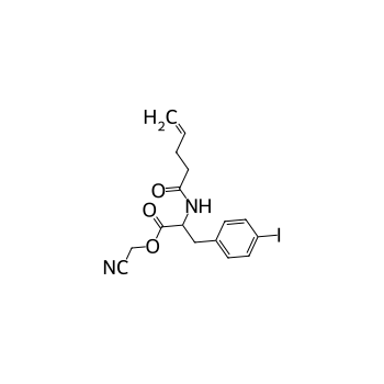 C=CCCC(=O)NC(Cc1ccc(I)cc1)C(=O)OCC#N